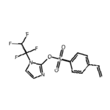 C=Cc1ccc(S(=O)(=O)Oc2nccn2C(F)(F)C(F)F)cc1